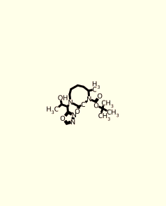 CC(O)C(c1nnco1)N1CCCCC(C)N(C(=O)OC(C)(C)C)CC1=O